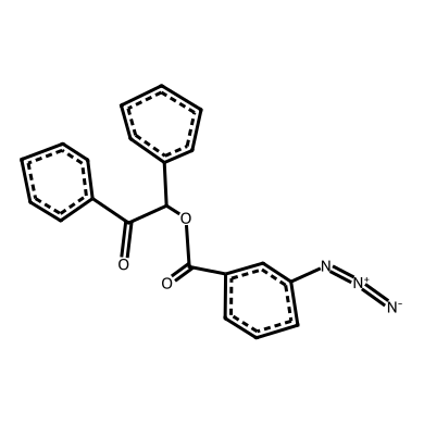 [N-]=[N+]=Nc1cccc(C(=O)OC(C(=O)c2ccccc2)c2ccccc2)c1